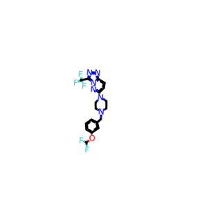 FC(F)Oc1cccc(CN2CCN(c3ccc4nnc(C(F)(F)F)n4n3)CC2)c1